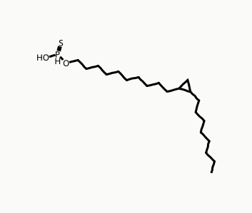 CCCCCCCCC1CC1CCCCCCCCCCO[PH](O)=S